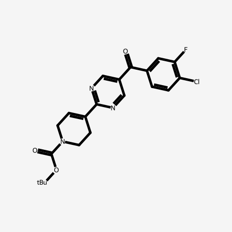 CC(C)(C)OC(=O)N1CC=C(c2ncc(C(=O)c3ccc(Cl)c(F)c3)cn2)CC1